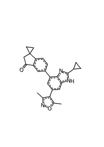 Cc1noc(C)c1-c1cc(-c2ccc3c(c2)C(=O)CC32CC2)c2nc(C3CC3)[nH]c2c1